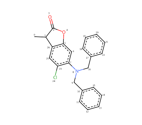 CC1C(=O)Oc2cc(N(Cc3ccccc3)Cc3ccccc3)c(Cl)cc21